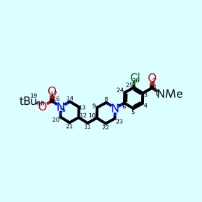 CNC(=O)c1ccc(N2CCC(CC3CCN(C(=O)OC(C)(C)C)CC3)CC2)cc1Cl